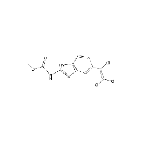 COC(=O)Nc1nc2cc(C(Cl)=C(Cl)Cl)ccc2[nH]1